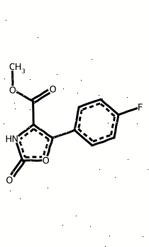 COC(=O)c1[nH]c(=O)oc1-c1ccc(F)cc1